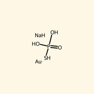 O=P(O)(O)S.[Au].[NaH]